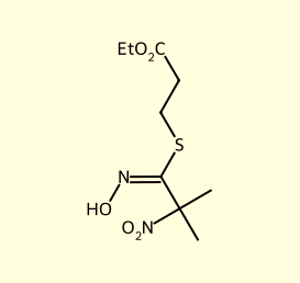 CCOC(=O)CCSC(=NO)C(C)(C)[N+](=O)[O-]